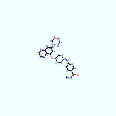 NC(=O)c1ccc(N[C@H]2CC[C@@H](Oc3cc(N4CCOCC4)cc4nccnc34)CC2)nc1